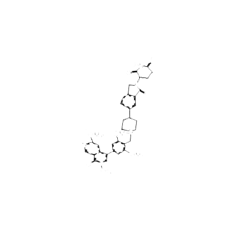 COc1cc2c(-c3cc(OC)c(CN4CCC(c5ccc6c(c5)C(=O)N(C5CCC(=O)NC5=O)C6)CC4)c(OC)c3)cn(C)c(=O)c2cn1